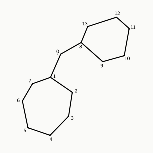 [CH](C1CCCCCC1)C1CCCCC1